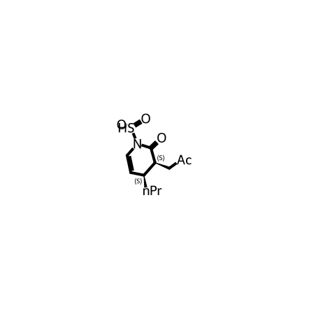 CCC[C@H]1C=CN([SH](=O)=O)C(=O)[C@H]1CC(C)=O